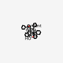 CCCCCC(=O)[C@@](OC(=O)c1ccccc1)(C(=O)c1ccccc1)C(OC(=O)c1ccccc1)(C(=O)c1ccccc1)C(O)(C(=O)c1ccccc1)C(O)CO